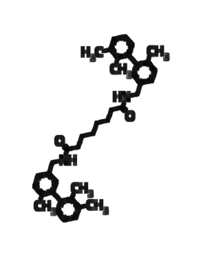 Cc1ccc(CNC(=O)CCCCCCC(=O)NCc2ccc(C)c(-c3cccc(C)c3C)c2)cc1-c1cccc(C)c1C